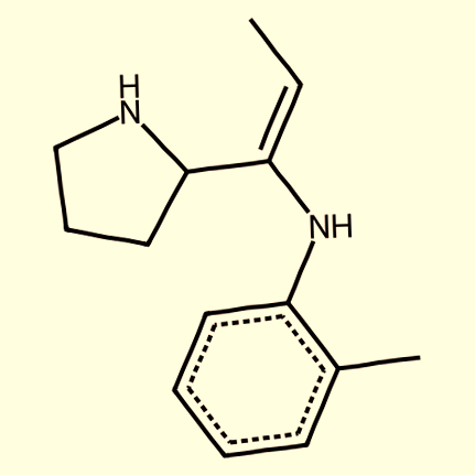 C/C=C(/Nc1ccccc1C)C1CCCN1